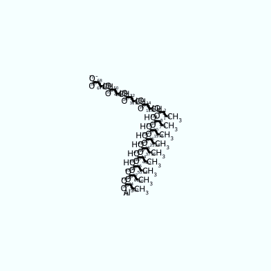 CCCC(=O)O.CCCC(=O)O.CCCC(=O)O.CCCC(=O)O.CCCC(=O)O.CCCC(=O)O.CCCC(=O)O.CCCC(=O)O.CCCC(=O)O.CCCC(=O)O.CCCC(=O)[O-].CCCC(=O)[O-].CCCC(=O)[O-].[Al+3]